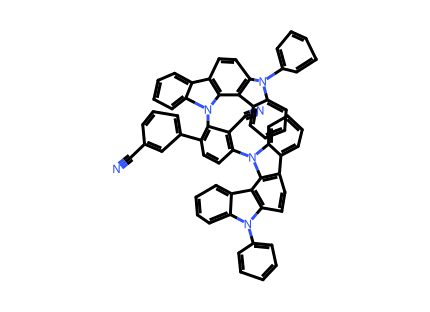 N#Cc1cccc(-c2ccc(-n3c4ccccc4c4ccc5c(c6ccccc6n5-c5ccccc5)c43)c(C#N)c2-n2c3ccccc3c3ccc4c(c5ccccc5n4-c4ccccc4)c32)c1